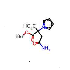 CCC(C)OC(=O)C(CC(N)=O)(C(=O)O)n1cccc1